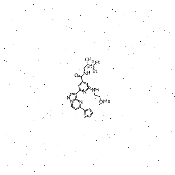 CCN(CC)[C@@H](C)CNC(=O)c1cc(NCCOC)nc(-c2cnn3ccc(-c4cccs4)nc23)c1